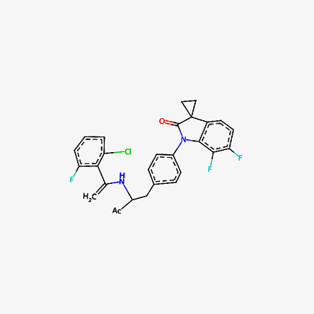 C=C(NC(Cc1ccc(N2C(=O)C3(CC3)c3ccc(F)c(F)c32)cc1)C(C)=O)c1c(F)cccc1Cl